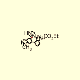 CCOC(=O)Cn1nc(N2CCNCC2)c2c(-c3cc4c(cnn4C)cc3F)cccc21